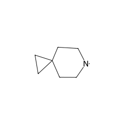 C1CC2(CC[N]1)CC2